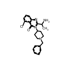 CC(N)c1nc2cccc(Cl)c2c(=O)n1C1CCN(Cc2ccccc2)CC1